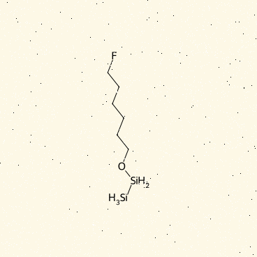 FCCCCCCO[SiH2][SiH3]